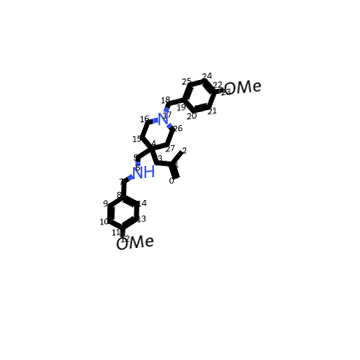 C=C(C)CC1(CNCc2ccc(OC)cc2)CCN(Cc2ccc(OC)cc2)CC1